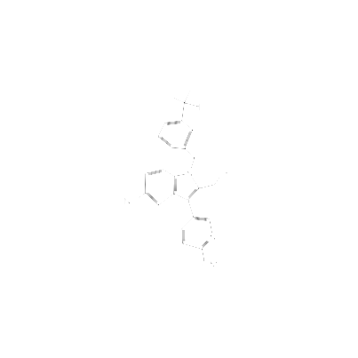 COc1ccc(-c2c(CO)n(Cc3cccc(C(C)(F)F)c3)c3ccc(C#N)cc23)cn1